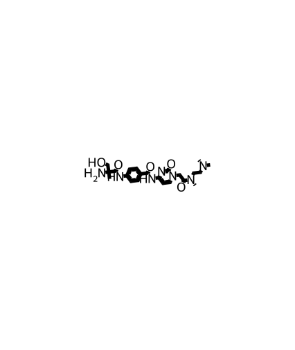 CN(C)CCN(C)C(=O)Cn1ccc(NC(=O)c2ccc(NC(=O)C(C)(N)CO)cc2)nc1=O